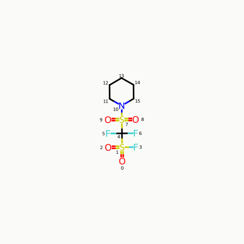 O=S(=O)(F)C(F)(F)S(=O)(=O)N1CCCCC1